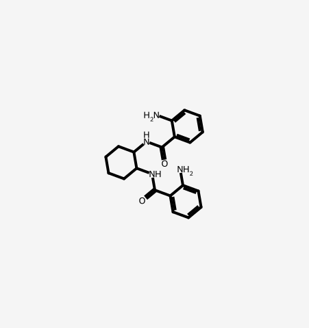 Nc1ccccc1C(=O)NC1CCCCC1NC(=O)c1ccccc1N